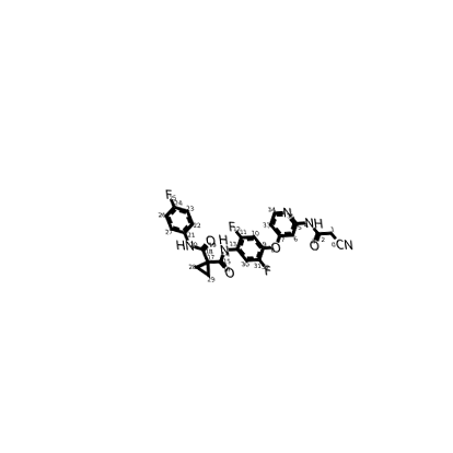 N#CCC(=O)Nc1cc(Oc2cc(F)c(NC(=O)C3(C(=O)Nc4ccc(F)cc4)CC3)cc2F)ccn1